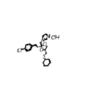 Cl.Clc1ccc(CC[C@@]2(Cn3ccnc3)OC[C@@H](CSC3CCCCC3)O2)cc1